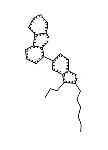 Cl.N#CCCCCCc1[nH]c2ccc(-c3cccc4c3oc3ccccc34)cc2c1CCN